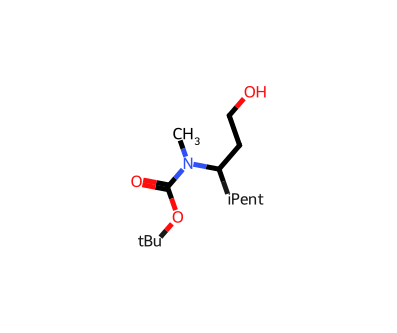 CCCC(C)C(CCO)N(C)C(=O)OC(C)(C)C